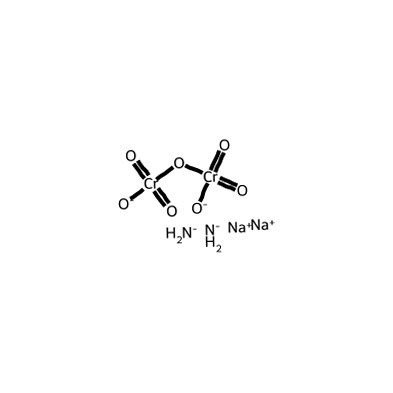 [NH2-].[NH2-].[Na+].[Na+].[O]=[Cr](=[O])([O-])[O][Cr](=[O])(=[O])[O-]